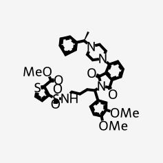 COC(=O)c1sccc1S(=O)(=O)NCCCC(c1ccc(OC)c(OC)c1)N1C(=O)c2cccc(N3CCN([C@H](C)c4ccccc4)CC3)c2C1=O